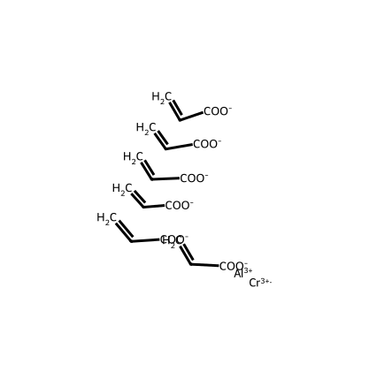 C=CC(=O)[O-].C=CC(=O)[O-].C=CC(=O)[O-].C=CC(=O)[O-].C=CC(=O)[O-].C=CC(=O)[O-].[Al+3].[Cr+3]